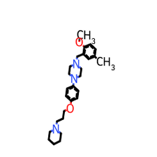 COc1ccc(C)cc1CN1CCN(c2ccc(OCCCN3CCCCC3)cc2)CC1